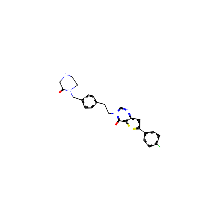 O=C1CNCCN1Cc1ccc(CCn2cnc3cc(-c4ccc(Cl)cc4)sc3c2=O)cc1